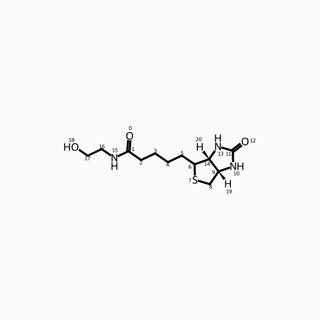 O=C(CCCCC1SC[C@H]2NC(=O)N[C@@H]12)NCCO